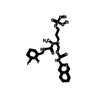 CCOP(=O)(OCC)OCCC[C@@H](COC(=O)Nc1cc2ccccc2cn1)N(C)C(=O)NCc1cccc(F)c1F